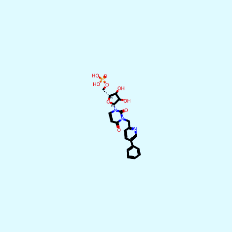 O=c1ccn([C@@H]2O[C@H](COP(=O)(O)O)C(O)C2O)c(=O)n1Cc1ccc(-c2ccccc2)cn1